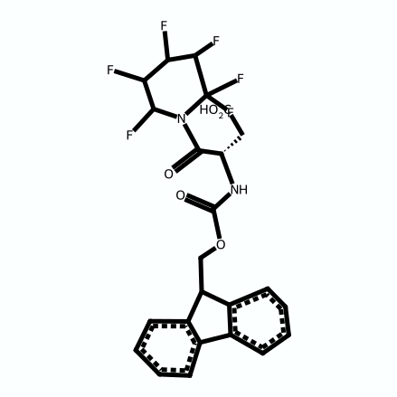 O=C(O)C[C@H](NC(=O)OCC1c2ccccc2-c2ccccc21)C(=O)N1C(F)C(F)C(F)C(F)C1(F)F